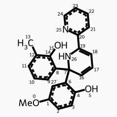 COc1ccc(O)c(C2(c3cccc(C)c3O)C=CC=C(c3ccccn3)N2)c1